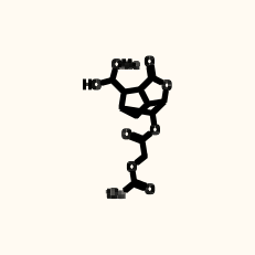 COC(O)C1C2CC3C(OC(=O)C31)C2OC(=O)COC(=O)C(C)(C)C